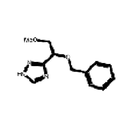 COCC(OCc1ccccc1)c1nc[nH]n1